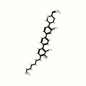 C=CC1CCC(c2ccc(-c3ccc(-c4ccc(CCCCCCC)c(F)c4F)cc3)cc2F)CO1